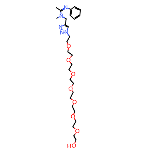 C/C(=N/c1ccccc1)N(C)Cc1cn(CCOCCOCCOCCOCCOCCOCCOCCO)nn1